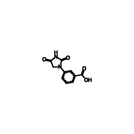 O=C1CN(c2cccc(C(=O)O)c2)C(=O)N1